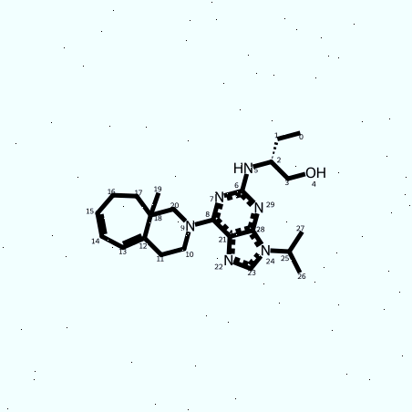 CC[C@H](CO)Nc1nc(N2CCC3=CC=CCCC3(C)C2)c2ncn(C(C)C)c2n1